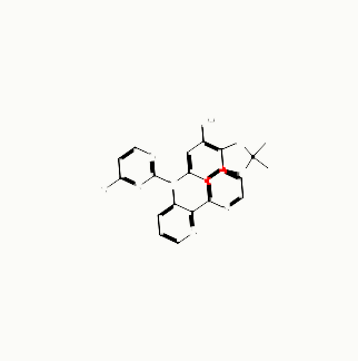 COc1cc(N(c2nccc(N)n2)c2cccnc2-c2ccccn2)cc2c1OC(C)(C)O2